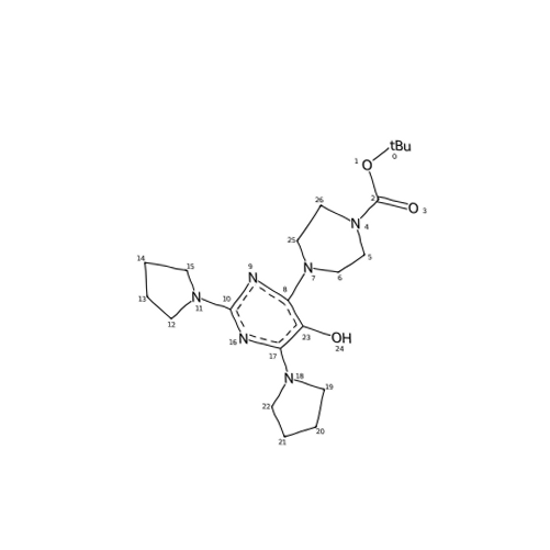 CC(C)(C)OC(=O)N1CCN(c2nc(N3CCCC3)nc(N3CCCC3)c2O)CC1